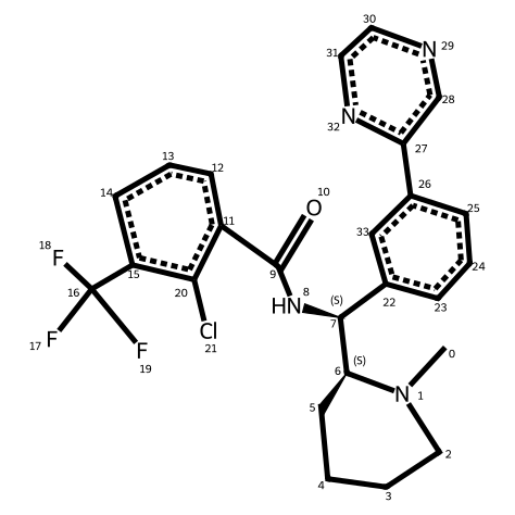 CN1CCCC[C@H]1[C@@H](NC(=O)c1cccc(C(F)(F)F)c1Cl)c1cccc(-c2cnccn2)c1